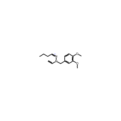 C=CN(Cc1ccc(OC)c(OC)c1)/N=C\CCC